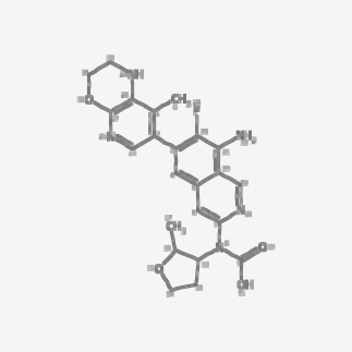 Cc1c(-c2cc3cc(N(C(=O)O)C4CCOC4C)ncc3c(N)c2F)cnc2c1NCCO2